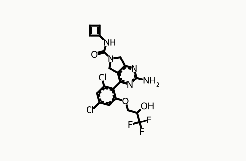 Nc1nc2c(c(-c3c(Cl)cc(Cl)cc3OCC(O)C(F)(F)F)n1)CN(C(=O)NC1=CC=C1)C2